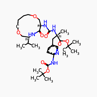 CC(C)[C@H]1COCCCCOC[C@@H](NC(=O)N[C@@](C)(Cc2ccc(NC(=O)OC(C)(C)C)nc2)C(=O)OC(C)(C)C)C(=O)N1